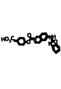 O=C(O)CC1CCC(OC(=O)N2CCc3cc(Nc4nc5ccccc5o4)ccc3C2)CC1